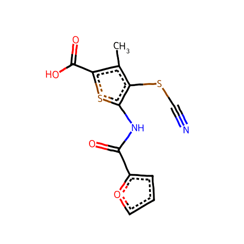 Cc1c(C(=O)O)sc(NC(=O)c2ccco2)c1SC#N